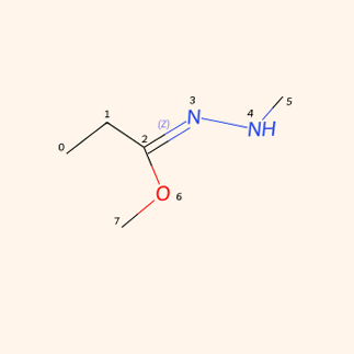 CC/C(=N/NC)OC